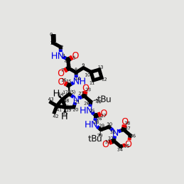 C=CCNC(=O)C(=O)C(CC1CCC1)NC(=O)[C@@H]1[C@@H]2[C@H](CN1C(=O)[C@@H](NC(=O)N[C@H](CN1C(=O)COCC1=O)C(C)(C)C)C(C)(C)C)C2(C)C